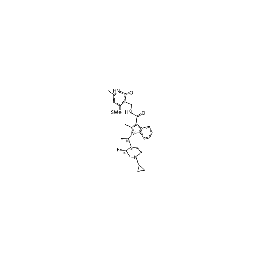 CSc1cc(C)[nH]c(=O)c1CNC(=O)c1c(C)n([C@H](C)[C@H]2CCN(C3CC3)C[C@H]2F)c2ccccc12